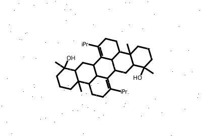 CC(C)C1=C2C3CC4C(C)(O)CCCC4(C)C4CCC(C(C)C)=C(C5CC6C(C)(O)CCCC6(C)C(CC1)C25)C34